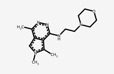 Cc1nnc(NCCN2CCOCC2)c2c(C)n(C)cc12